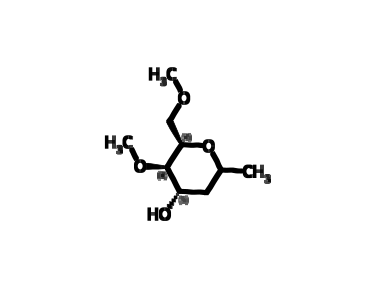 COC[C@H]1OC(C)C[C@H](O)[C@H]1OC